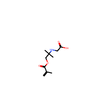 C=C(C)C(=O)OCC(C)(C)NCC(=O)O